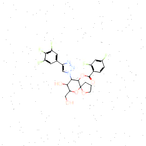 O=C(OC1C(n2cc(-c3cc(F)c(F)c(F)c3)nn2)C(O)C(CO)OC12CCCO2)c1ccc(F)cc1F